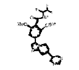 COc1cc(-c2cnc3cc(-c4cncnc4)ccn23)cc(OC)c1C(=O)NC(F)C(F)F